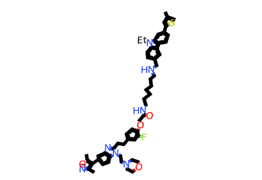 CCn1c2ccc(CNCCCCCCCNC(=O)COc3ccc(CCc4nc5cc(-c6c(C)noc6C)ccc5n4CCN4CCOCC4)cc3F)cc2c2ccc(-c3cc(C)cs3)cc21